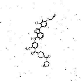 Cc1cc(Nc2nccn3c(-c4ccc(OCC#N)c(F)c4Cl)cnc23)ccc1C(=O)N1CCN(C(=O)[C@@H]2CCNC2)CC1